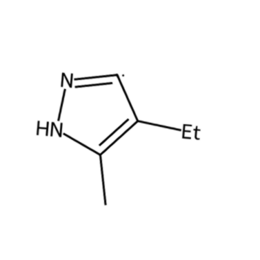 CCc1[c]n[nH]c1C